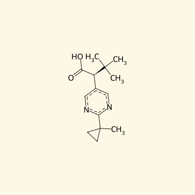 CC1(c2ncc([C@@H](C(=O)O)C(C)(C)C)cn2)CC1